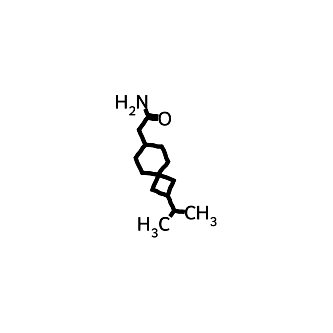 CC(C)C1CC2(CCC(CC(N)=O)CC2)C1